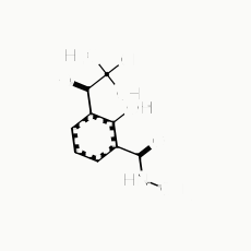 CNC(=O)c1cccc(C(=O)C(C)(C)C)c1O